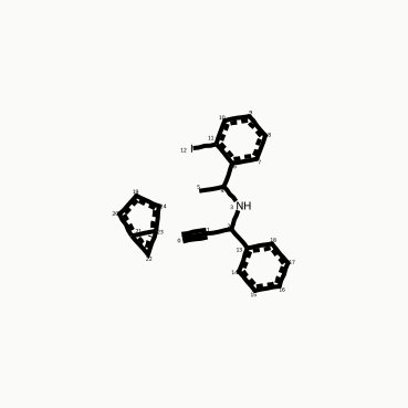 C#CC(NC(C)c1ccccc1I)c1ccccc1.c1cc2cc-2c1